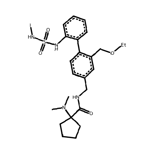 CCOCc1cc(CNC(=O)C2(N(C)C)CCCC2)ccc1-c1ccccc1NS(=O)(=O)NI